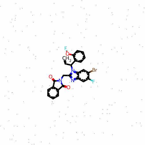 C=CC(c1ccccc1OF)n1c(CN2C(=O)c3ccccc3C2=O)nc2cc(F)c(Br)cc21